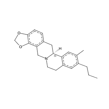 CCCc1cc2c(cc1C)[C@@H]1Cc3ccc4c(c3CN1CC2)OCO4